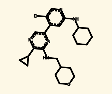 Clc1cnc(NC2CCCCC2)cc1-c1cnc(C2CC2)c(NCC2CCOCC2)n1